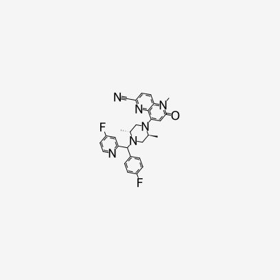 C[C@@H]1CN(c2cc(=O)n(C)c3ccc(C#N)nc23)[C@@H](C)CN1C(c1ccc(F)cc1)c1cc(F)ccn1